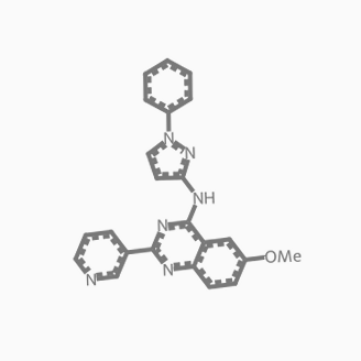 COc1ccc2nc(-c3cccnc3)nc(Nc3ccn(-c4ccccc4)n3)c2c1